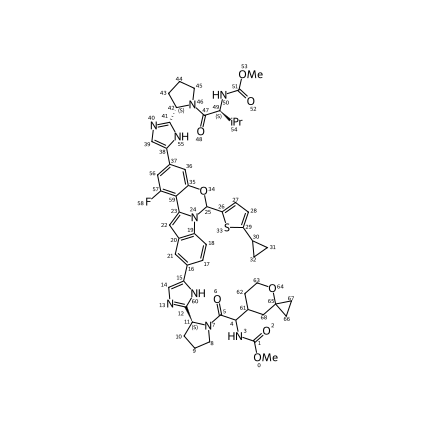 COC(=O)NC(C(=O)N1CCC[C@H]1c1ncc(-c2ccc3c(c2)cc2n3C(c3ccc(C4CC4)s3)Oc3cc(-c4cnc([C@@H]5CCCN5C(=O)[C@@H](NC(=O)OC)C(C)C)[nH]4)cc(F)c3-2)[nH]1)C1CCOC2(CC2)C1